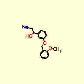 COc1ccccc1COc1cccc(C(O)CC#N)c1